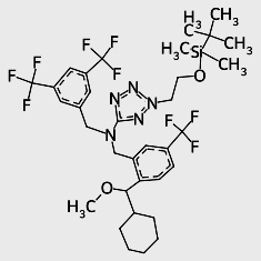 COC(c1ccc(C(F)(F)F)cc1CN(Cc1cc(C(F)(F)F)cc(C(F)(F)F)c1)c1nnn(CCO[Si](C)(C)C(C)(C)C)n1)C1CCCCC1